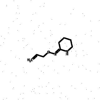 C=CCON=C1CCCCN1